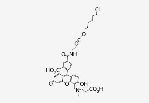 CN(CCC(=O)O)Cc1c(O)ccc2c(-c3ccc(C(=O)NCCOCCOCCCCCCCl)cc3C(=O)O)c3ccc(=O)cc-3oc12